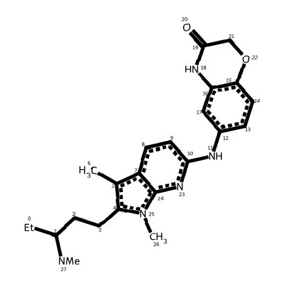 CCC(CCc1c(C)c2ccc(Nc3ccc4c(c3)NC(=O)CO4)nc2n1C)NC